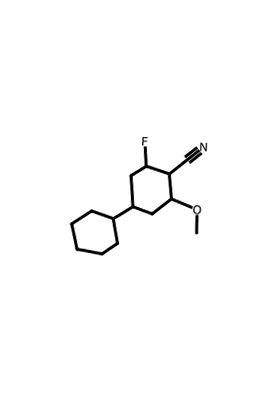 COC1CC(C2CCCCC2)CC(F)C1C#N